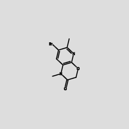 Cc1nc2c(cc1Br)N(C)C(=O)CO2